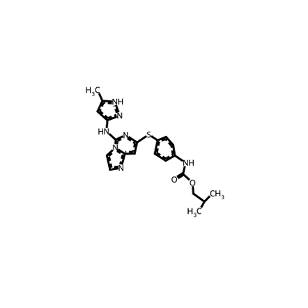 Cc1cc(Nc2nc(Sc3ccc(NC(=O)OCC(C)C)cc3)cc3nccn23)n[nH]1